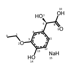 CCOc1cc([C@@H](O)C(=O)O)ccc1O.[NaH]